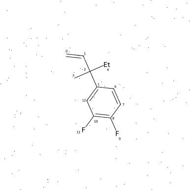 C=CC(C)(CC)c1ccc(F)c(F)c1